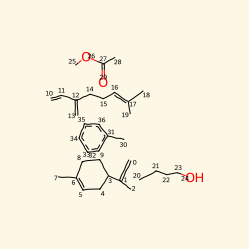 C=C(C)C1CC=C(C)CC1.C=CC(=C)CCC=C(C)C.CCCCO.COC(C)=O.Cc1ccccc1